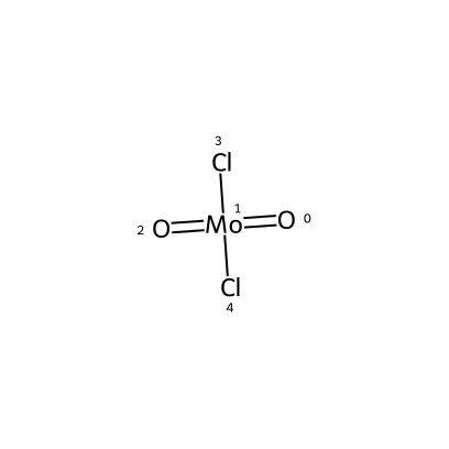 [O]=[Mo](=[O])([Cl])[Cl]